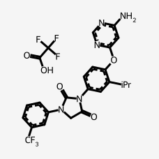 CC(C)c1cc(N2C(=O)CN(c3cccc(C(F)(F)F)c3)C2=O)ccc1Oc1cc(N)ncn1.O=C(O)C(F)(F)F